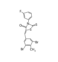 Cc1c(Br)cc(/C=C2\SC(=S)N(c3cccc(F)c3)C2=O)cc1Br